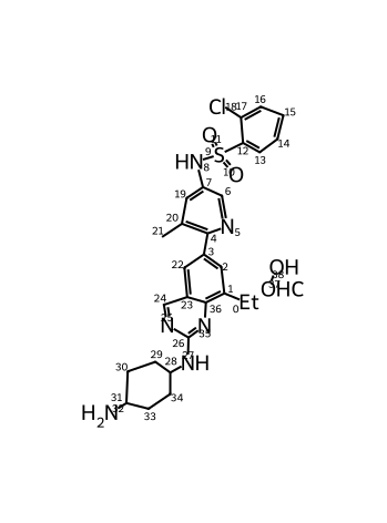 CCc1cc(-c2ncc(NS(=O)(=O)c3ccccc3Cl)cc2C)cc2cnc(NC3CCC(N)CC3)nc12.O=CO